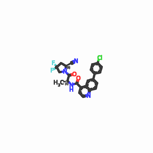 C[C@@H](NC(=O)c1ccnc2ccc(-c3ccc(Cl)cc3)cc12)C(=O)N1CC(F)(F)C[C@H]1C#N